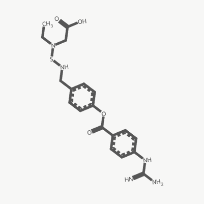 CCN(CC(=O)O)SNCc1ccc(OC(=O)c2ccc(NC(=N)N)cc2)cc1